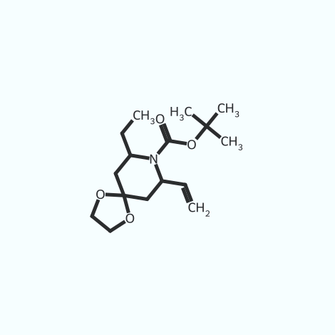 C=CC1CC2(CC(CC)N1C(=O)OC(C)(C)C)OCCO2